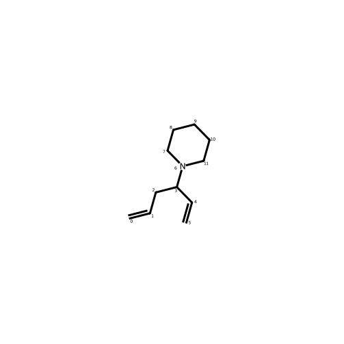 C=CCC(C=C)N1CCCCC1